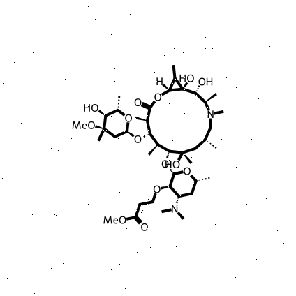 COC(=O)CCO[C@H]1[C@H](O[C@@H]2[C@@H](C)[C@H](O[C@H]3C[C@@](C)(OC)[C@@H](O)[C@H](C)O3)[C@@H](C)C(=O)O[C@@H]3C(C)[C@]3(O)[C@H](O)[C@@H](C)N(C)C[C@H](C)C[C@]2(C)O)O[C@H](C)C[C@@H]1N(C)C